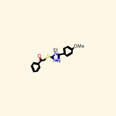 CCn1c(SCC(=O)c2ccccc2)nnc1-c1ccc(OC)cc1